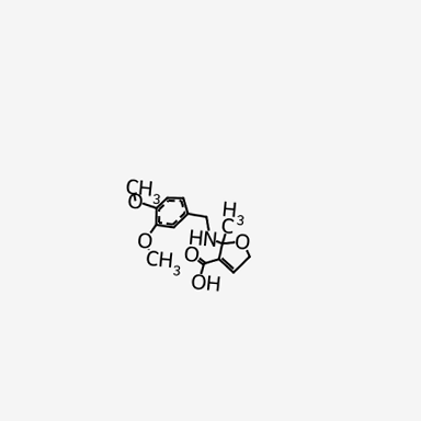 COc1ccc(CNC2(C)OCC=C2C(=O)O)cc1OC